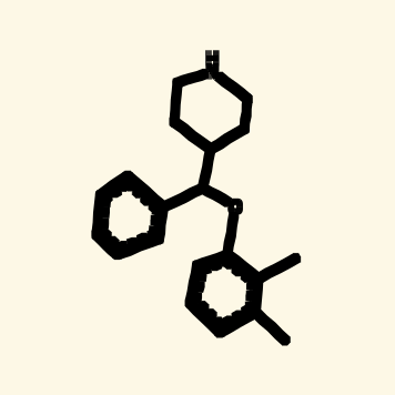 Cc1cccc(OC(c2ccccc2)C2CCNCC2)c1C